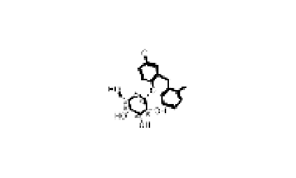 Cc1ccccc1Cc1cc(Cl)ccc1O[C@H]1S[C@@H](CO)[C@@H](O)[C@H](O)[C@H]1O